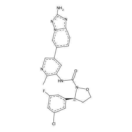 Cc1ncc(-c2ccc3nc(N)nn3c2)cc1NC(=O)N1OCC[C@H]1c1cc(F)cc(Cl)c1